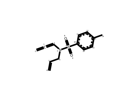 C=C=CN(CC=C)S(=O)(=O)c1ccc(C)cc1